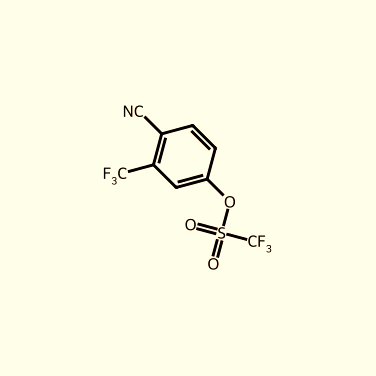 N#Cc1ccc(OS(=O)(=O)C(F)(F)F)cc1C(F)(F)F